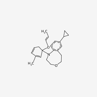 CC=COC1(N2CCOCCc3cc(C4CC4)ccc32)C=C(C)C=CC1